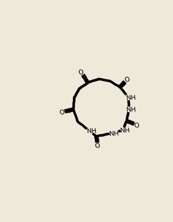 O=C1CCC(=O)CNC(=O)NNC(=O)NNC(=O)CC1